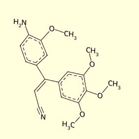 COc1cc(C(=CC#N)c2cc(OC)c(OC)c(OC)c2)ccc1N